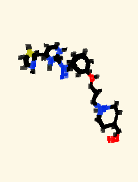 OCC1CCN(CCCOc2cccc(Nc3nccc(-c4nccs4)n3)c2)CC1